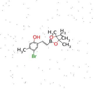 Cc1cc(O)c(C=CB2OC(C)(C)C(C)(C)O2)cc1Br